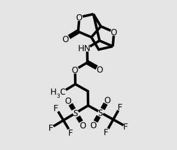 CC(CC(S(=O)(=O)C(F)(F)F)S(=O)(=O)C(F)(F)F)OC(=O)NC1C2CC3C(=O)OC1C3O2